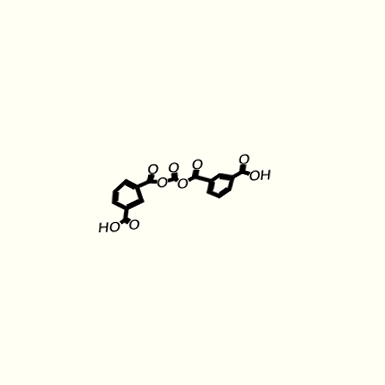 O=C(OC(=O)c1cccc(C(=O)O)c1)OC(=O)c1cccc(C(=O)O)c1